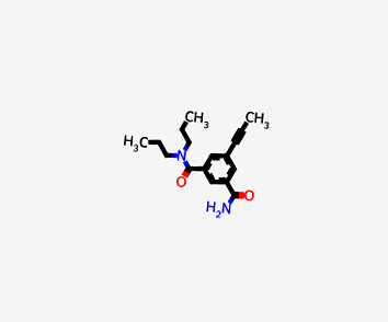 CC#Cc1cc(C(N)=O)cc(C(=O)N(CCC)CCC)c1